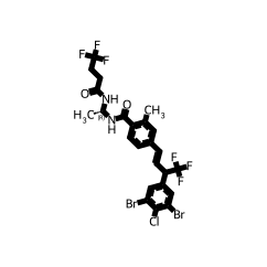 Cc1cc(C=CC(c2cc(Br)c(Cl)c(Br)c2)C(F)(F)F)ccc1C(=O)N[C@H](C)NC(=O)CCC(F)(F)F